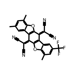 Cc1cc(C)c2oc3c(=C(C#N)C#N)c4c(oc5c(C)cc(C(F)(F)F)cc54)c(=C(C#N)C#N)c3c2c1